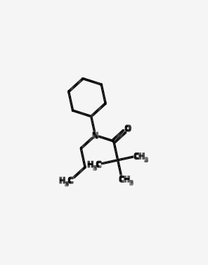 CCCN(C(=O)C(C)(C)C)C1CCCCC1